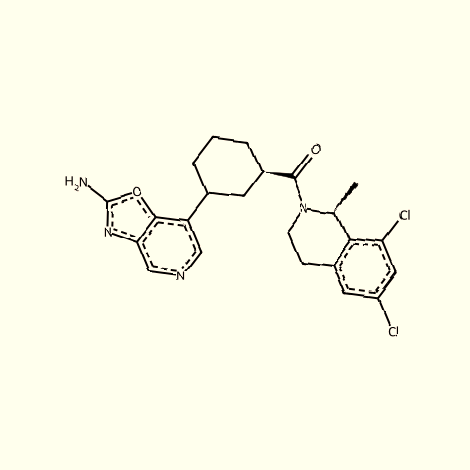 C[C@H]1c2c(Cl)cc(Cl)cc2CCN1C(=O)[C@@H]1CCCC(c2cncc3nc(N)oc23)C1